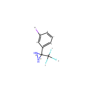 FC(F)(F)C1(c2cccc(I)c2)NN1